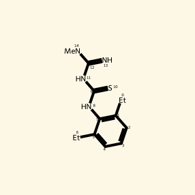 CCc1cccc(CC)c1NC(=S)NC(=N)NC